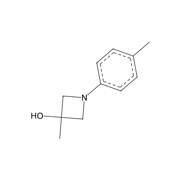 Cc1ccc(N2CC(C)(O)C2)cc1